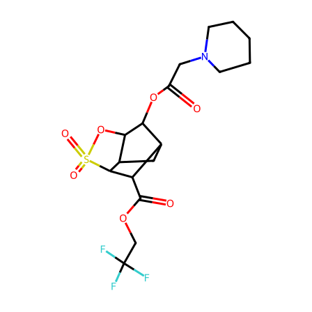 O=C(CN1CCCCC1)OC1C2CC3C1OS(=O)(=O)C3C2C(=O)OCC(F)(F)F